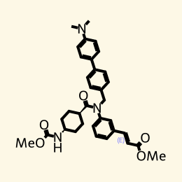 COC(=O)/C=C/c1cccc(N(Cc2ccc(-c3ccc(N(C)C)cc3)cc2)C(=O)[C@H]2CC[C@H](NC(=O)OC)CC2)c1